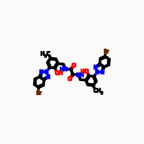 Cc1cc(CNC(=O)C(=O)NCc2cc(C)cc(-n3nc4ccc(Br)cc4n3)c2O)c(O)c(-n2nc3ccc(Br)cc3n2)c1